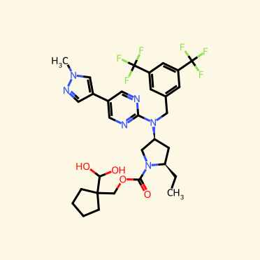 CC[C@@H]1C[C@H](N(Cc2cc(C(F)(F)F)cc(C(F)(F)F)c2)c2ncc(-c3cnn(C)c3)cn2)CN1C(=O)OCC1(C(O)O)CCCC1